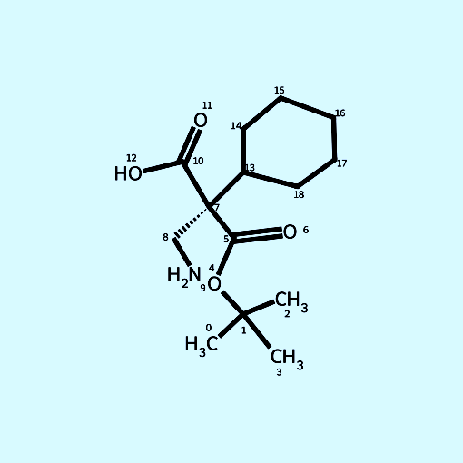 CC(C)(C)OC(=O)[C@@](CN)(C(=O)O)C1CCCCC1